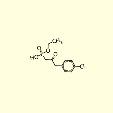 CCOP(=O)(O)CC(=O)Cc1ccc(Cl)cc1